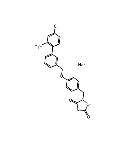 Cc1cc(Cl)ccc1-c1cccc(COc2ccc(Cn3oc(=O)[n-]c3=O)cc2)c1.[Na+]